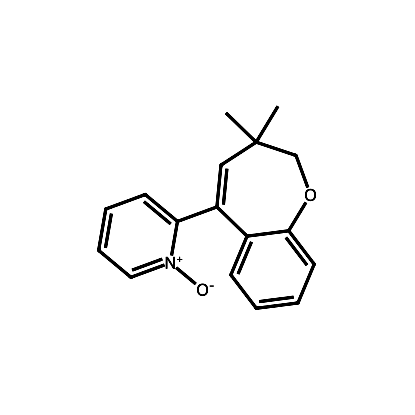 CC1(C)C=C(c2cccc[n+]2[O-])c2ccccc2OC1